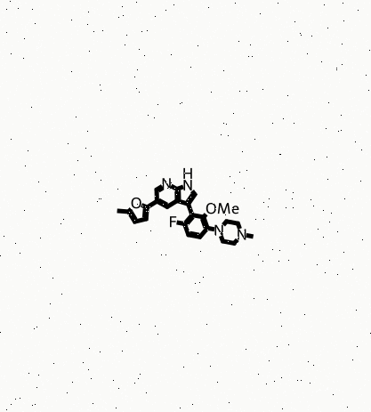 COc1c(N2CCN(C)CC2)ccc(F)c1-c1c[nH]c2ncc(-c3ccc(C)o3)cc12